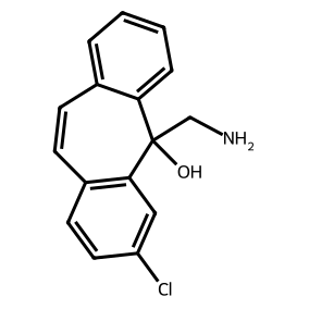 NCC1(O)c2ccccc2C=Cc2ccc(Cl)cc21